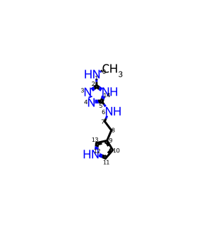 CNc1nnc(NCCc2cc[nH]c2)[nH]1